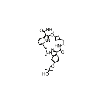 Cc1cccc2c(C(N)=O)c(OC3CC(C[C@H](C)NC(=O)c4nn(C(F)F)c5cc(OCC(C)(C)O)ccc45)C3)nn12